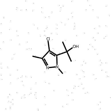 Cc1nn(C)c(C(C)(C)O)c1Cl